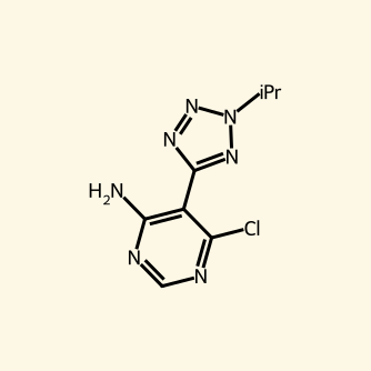 CC(C)n1nnc(-c2c(N)ncnc2Cl)n1